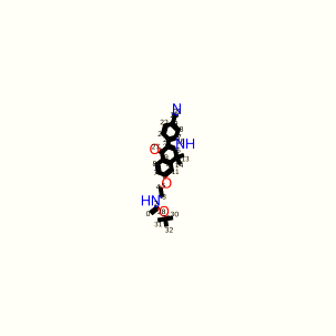 C=C(NCCOc1ccc2c(c1)C(C)(C)c1[nH]c3cc(C#N)ccc3c1C2=O)OC(C)(C)C